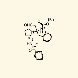 CC(C)(C)OC(=O)NC(CC=O)(Cc1ccccc1F)N1CCC[C@H]1CNS(=O)(=O)c1ccccc1